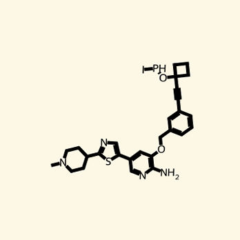 CN1CCC(c2ncc(-c3cnc(N)c(OCc4cccc(C#CC5(OPI)CCC5)c4)c3)s2)CC1